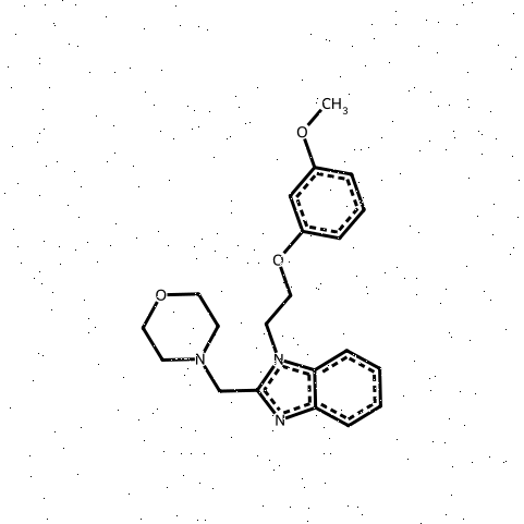 COc1cccc(OCCn2c(CN3CCOCC3)nc3ccccc32)c1